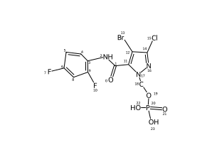 O=C(Nc1ccc(F)cc1F)c1c(Br)c(Cl)nn1COP(=O)(O)O